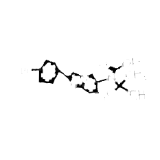 CC(C)(C)N(C(=O)O)c1ccc2nc(-c3ccc(Br)cc3)cn2c1